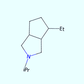 CCC1CCC2CN(C(C)C)CC12